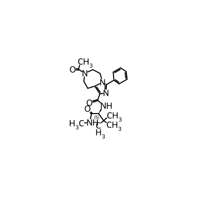 CNC(=O)[C@@H](NC(=O)c1nc(-c2ccccc2)n2c1CCN(C(C)=O)CC2)C(C)(C)C